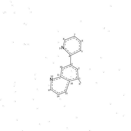 Cc1cc(-c2ccccn2)cc2ncccc12